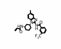 C=CC(=O)N[C@H]1CCC[C@H](n2c(NC(=O)c3cccc(C(F)(F)F)c3)nc3cc(C)ccc32)C1